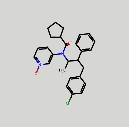 CC(C(Cc1ccc(Cl)cc1)c1ccccc1)N(C(=O)C1CCCC1)c1ccc[n+]([O-])c1